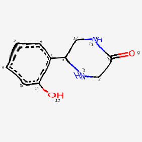 O=C1CNC(c2ccccc2O)CN1